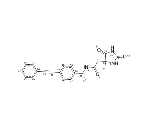 C[C@@H](NC(=O)CC1(C)NC(=O)NC1=O)c1ccc(C#Cc2ccccc2)cc1